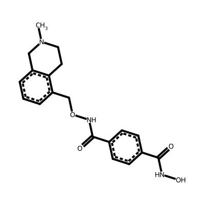 CN1CCc2c(CONC(=O)c3ccc(C(=O)NO)cc3)cccc2C1